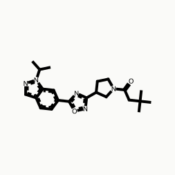 CC(C)n1ncc2ccc(-c3nc(C4CCN(C(=O)CC(C)(C)C)C4)no3)cc21